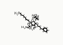 CCCCCCCCC[C@@H]1OC[C@@H](OCCCc2ccccc2)[C@H](OC)[C@@H]1OC(=O)CN.O=C(O)C(F)(F)F